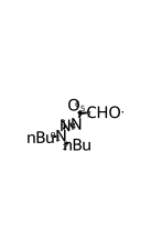 CCCCN(CCCC)N=NC(=O)[C]=O